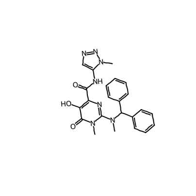 CN(c1nc(C(=O)Nc2cnnn2C)c(O)c(=O)n1C)C(c1ccccc1)c1ccccc1